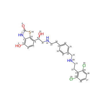 O=c1[nH]c2c(O)ccc([C@@H](O)CNCCc3ccc(CNCCc4c(Cl)cccc4Cl)cc3)c2s1